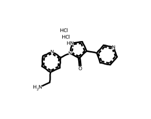 Cl.Cl.NCc1ccnc(-n2[nH]cc(-c3cccnc3)c2=O)c1